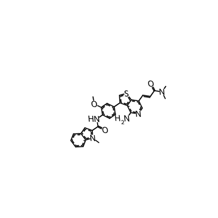 COc1cc(-c2csc3c(C=CC(=O)N(C)C)cnc(N)c23)ccc1NC(=O)c1cc2ccccc2n1C